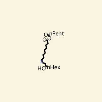 CCCCCC[C@@H](O)C/C=C\CCCCCCCC(=O)OC(=O)CCCCC